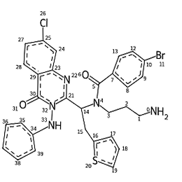 NCCCN(C(=O)c1ccc(Br)cc1)C(Cc1cccs1)c1nc2cc(Cl)ccc2c(=O)n1Nc1ccccc1